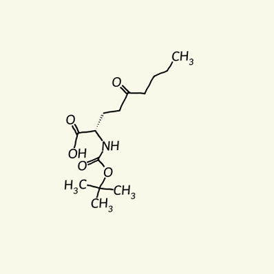 CCCCC(=O)CC[C@H](NC(=O)OC(C)(C)C)C(=O)O